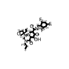 C=C[C@H](C)N1CN(C2(C=C)CCOC2)n2cc(C(=O)NCc3c(F)cc(F)cc3F)c(=O)c(O)c2C1=O